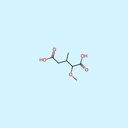 COC(C(=O)O)C(C)CC(=O)O